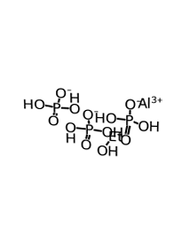 CCO.O=P([O-])(O)O.O=P([O-])(O)O.O=P([O-])(O)O.[Al+3]